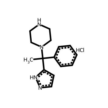 CC(c1ccccc1)(c1ccn[nH]1)N1CCNCC1.Cl